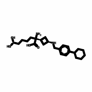 NC(CCCCB(O)O)(C(=O)O)[C@H]1C[C@@H](NCc2ccc(C3CCCCC3)cc2)C1